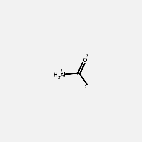 C[C](=O)[AlH2]